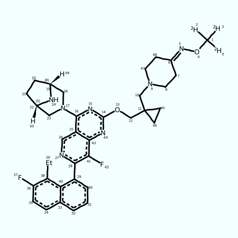 [2H]C([2H])([2H])ON=C1CCN(CC2(COc3nc(N4C[C@H]5CC[C@@H](C4)N5)c4cnc(-c5cccc6ccc(F)c(CC)c56)c(F)c4n3)CC2)CC1